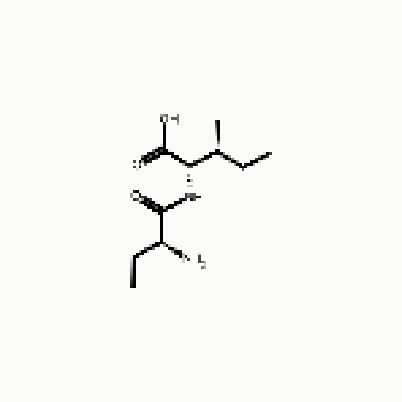 CC[C@H](N)C(=O)N[C@H](C(=O)O)[C@@H](C)CC